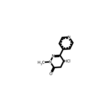 CN1N=C(c2ccncc2)CCC1=O.Cl